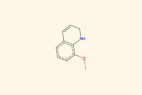 IOc1cccc2c1NCC=C2